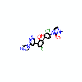 C[C@@H]1CN(c2cc(-c3cc(F)cc(-c4ccc(-n5ccn(C)c5=O)c(Cl)c4)c3O)cnn2)CCN1